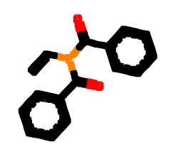 C=CP(C(=O)c1ccccc1)C(=O)c1ccccc1